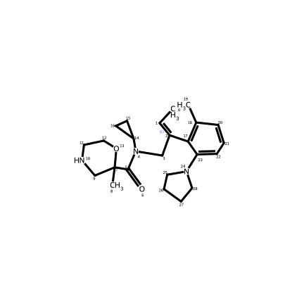 C/C=C(/CN(C(=O)C1(C)CNCCO1)C1CC1)c1c(C)cccc1N1CCCC1